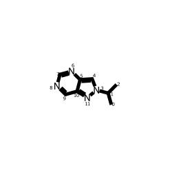 CC(C)n1cc2ncncc2n1